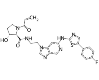 C=CC(=O)N1CC[C@@H](O)[C@@H]1C(=O)NCCn1cnc2cnc(Nc3ncc(-c4ccc(F)cc4)s3)cc21